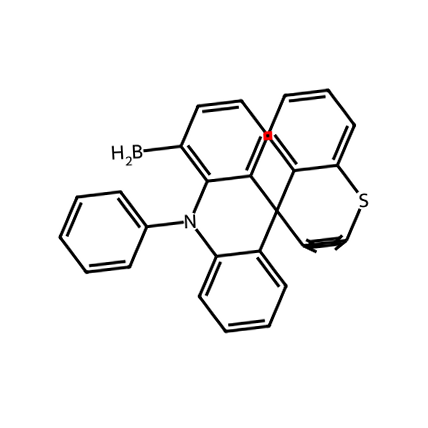 Bc1cccc2c1N(c1ccccc1)c1ccccc1C21c2ccccc2Sc2ccccc21